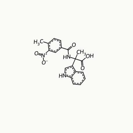 Cc1ccc(C(=O)NC(C)(C(=O)O)c2c[nH]c3ccccc23)cc1[N+](=O)[O-]